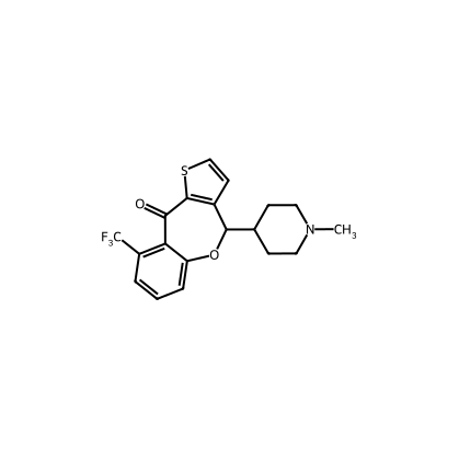 CN1CCC(C2Oc3cccc(C(F)(F)F)c3C(=O)c3sccc32)CC1